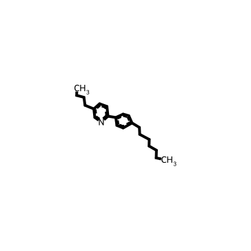 CCCCCCCc1ccc(-c2ccc(CCCC)cn2)cc1